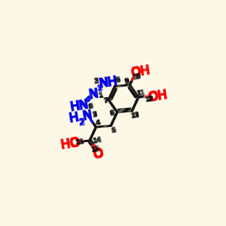 N=[N+]=N.NC(Cc1ccc(O)c(O)c1)C(=O)O